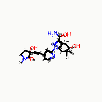 CN1CC[C@@](O)(C#Cc2ccnc(-n3nc(C(N)O)c4c3CC(C)(C)[C@H](O)C4)c2)C1=O